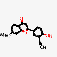 C#Cc1cc(-c2cc(=O)c3ccc(OC)cc3o2)ccc1O